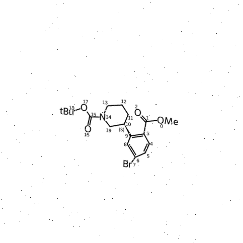 COC(=O)c1ccc(Br)cc1[C@@H]1CCCN(C(=O)OC(C)(C)C)C1